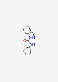 O=C(Nc1ccccc1)n1ncc2ccccc21